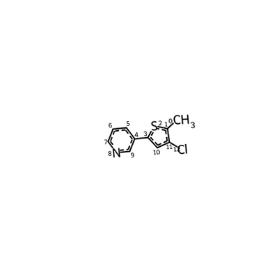 Cc1sc(-c2cccnc2)cc1Cl